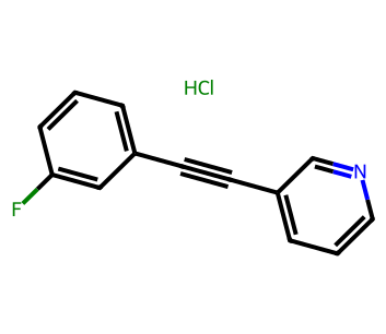 Cl.Fc1cccc(C#Cc2cccnc2)c1